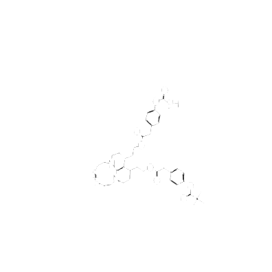 CC(C)(C)C(=O)Oc1ccc(CC(=O)OCCC2CCN3CCSSCCN4CCC(CCOC(=O)Cc5ccc(OC(=O)S)cc5)C2=C43)cc1